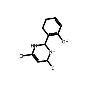 OC1=C(C2NC(Cl)=CC(Cl)N2)CCC=C1